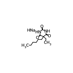 CCCCCCC1(CC)C(=O)NC(=O)NC1=O.[NaH]